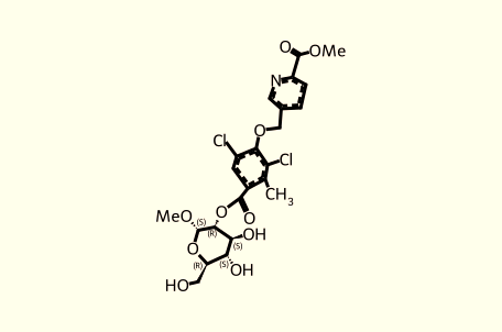 COC(=O)c1ccc(COc2c(Cl)cc(C(=O)O[C@H]3[C@@H](OC)O[C@H](CO)[C@@H](O)[C@@H]3O)c(C)c2Cl)cn1